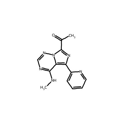 CNc1ncnn2c(C(C)=O)nc(-c3ccccn3)c12